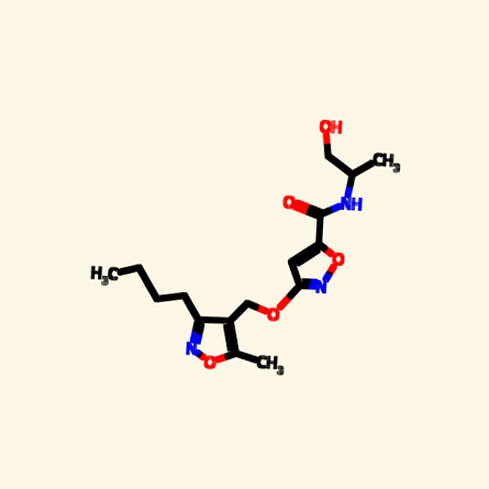 CCCCc1noc(C)c1COc1cc(C(=O)NC(C)CO)on1